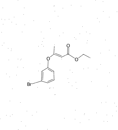 CCOC(=O)C=C(C)Oc1cccc(Br)c1